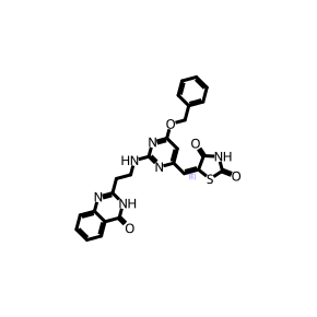 O=C1NC(=O)/C(=C\c2cc(OCc3ccccc3)nc(NCCc3nc4ccccc4c(=O)[nH]3)n2)S1